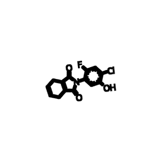 O=C1C2=C(CC=CC2)C(=O)N1c1cc(O)c(Cl)cc1F